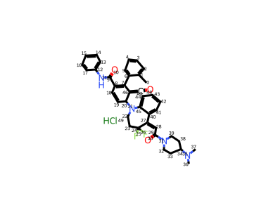 Cc1ccccc1C1=C(C(=O)Nc2ccccc2)C=CC(N2CCC(F)(F)C(=CC(=O)N3CCC(N(C)C)CC3)c3ccccc32)C1=C=O.Cl